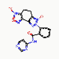 O=C(Nc1ccncn1)c1ccccc1-n1nc2c([n+]1[O-])CCc1c-2no[n+]1[O-]